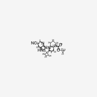 N#Cc1cnc2nc(C3(c4ccc5c(n4)CCCN5C(=O)OC4CC4)CCC3)[nH]c2c1